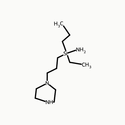 CCC[Si](N)(CC)CCCN1CCNCC1